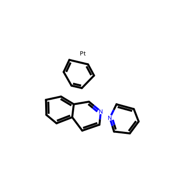 [Pt].c1ccc2cnccc2c1.c1ccccc1.c1ccncc1